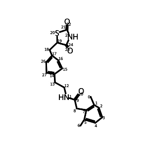 Cc1cccc(C)c1CC(=O)NCCc1ccc(CC2SC(=O)NC2=O)cc1